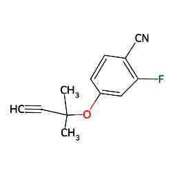 C#CC(C)(C)Oc1ccc(C#N)c(F)c1